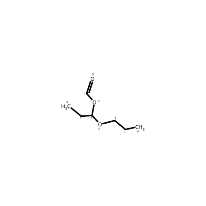 CCCOC(CC)O[C]=O